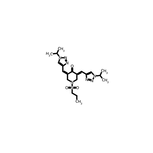 CCCS(=O)(=O)N1CC(=Cc2cn(C(C)C)nn2)C(=O)C(=Cc2cn(C(C)C)nn2)C1